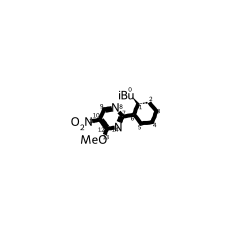 CC[C@H](C)[C@@H]1CCCCC1c1ncc([N+](=O)[O-])c(OC)n1